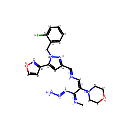 C\N=C(N=NN)/C(=C\N=C\c1cc(-c2ccon2)n(Cc2ccccc2F)n1)N1CCOCC1